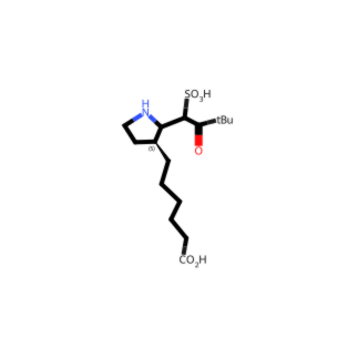 CC(C)(C)C(=O)C(C1NCC[C@@H]1CCCCCC(=O)O)S(=O)(=O)O